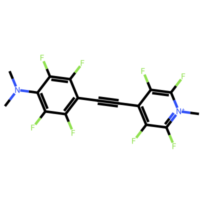 CN(C)c1c(F)c(F)c(C#Cc2c(F)c(F)[n+](C)c(F)c2F)c(F)c1F